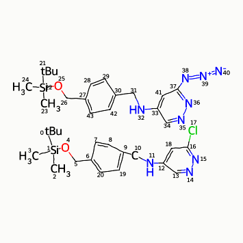 CC(C)(C)[Si](C)(C)OCc1ccc(CNc2cnnc(Cl)c2)cc1.CC(C)(C)[Si](C)(C)OCc1ccc(CNc2cnnc(N=[N+]=[N-])c2)cc1